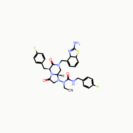 N#CCN(C(=O)NCc1ccc(F)cc1)N1CC(=O)N2[C@@H](Cc3ccc(F)cc3)C(=O)N(CC3=CC=CC4SC(N)=NC34)C[C@@H]21